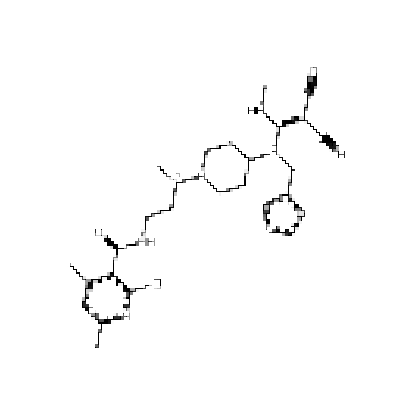 CNC(=C(C#N)C#N)N(Cc1ccsc1)C1CCN([C@H](C)CCNC(=O)c2c(C)cc(C)nc2Cl)CC1